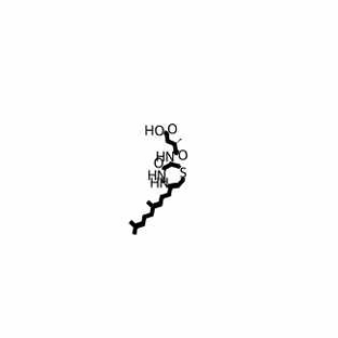 CC(C)=CCC/C(C)=C/CC/C1=C/CSC[C@H](NC(=O)[C@@H](C)CC(=O)O)C(=O)NN1